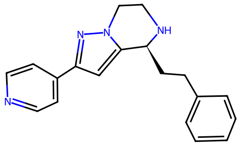 c1ccc(CC[C@@H]2NCCn3nc(-c4ccncc4)cc32)cc1